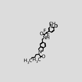 CCCCC(C(C)=O)N1Cc2ccc(CNC(=O)C(F)(F)c3ccc(=O)n(C)c3)cc2C1